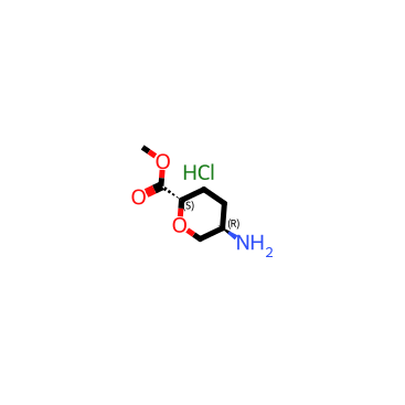 COC(=O)[C@@H]1CC[C@@H](N)CO1.Cl